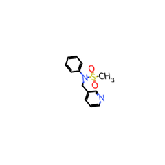 CS(=O)(=O)N(Cc1cccnc1)c1ccccc1